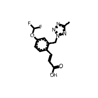 Cc1nnn(Cc2cc(OC(F)F)ccc2C=CC(=O)O)n1